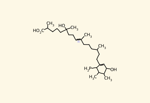 C/C(=C\CCC(C)(O)CCCC(C)C(=O)O)CCCC(C)CCC1=CC(O)C(C)C(C)C1P